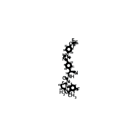 CC(C)c1cc(F)ccc1N1/C(=N/C(=O)NCC(C#N)c2ccc(-c3ncn(-c4ccc(OC(F)(F)F)cc4)n3)cc2)SCCC1C